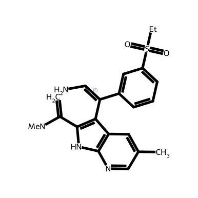 C=C(NC)c1[nH]c2ncc(C)cc2c1/C(=C\N)c1cccc(S(=O)(=O)CC)c1